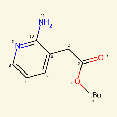 CC(C)(C)OC(=O)Cc1cccnc1N